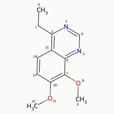 CCc1ncnc2c(OC)c(OC)ccc12